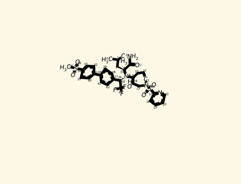 CC(C)C[C@@H](C(N)=O)N(C1CCCN(S(=O)(=O)c2ccccn2)CC1O)[C@@H](c1ccc(-c2ccc(S(C)(=O)=O)cc2)cc1)C(F)(F)F